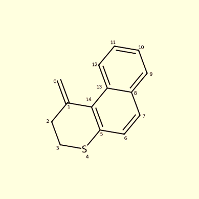 C=C1CCSc2ccc3ccccc3c21